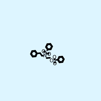 O=S(=O)(OCCN(CCc1ccccc1)S(=O)(=O)c1ccccc1)c1ccccc1